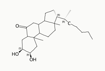 CCCCC[C@@H](C)[C@H]1CCC2C3CC(=O)C4C[C@H](O)[C@H](O)CC4(C)C3CCC21C